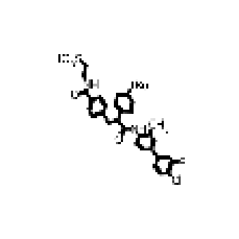 Cc1cc(-c2ccc(Cl)c(F)c2)ccc1NC(=O)C(Cc1ccc(C(=O)NCCS(=O)(=O)O)cc1)c1ccc(C(C)(C)C)cc1